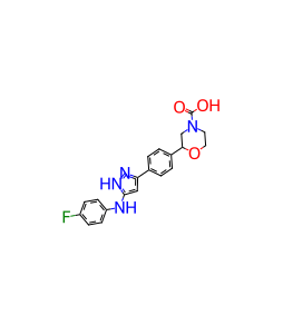 O=C(O)N1CCOC(c2ccc(-c3cc(Nc4ccc(F)cc4)[nH]n3)cc2)C1